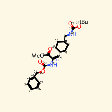 COC(=O)/C(=C\[C@H]1CC[C@H](CNC(=O)OC(C)(C)C)CC1)NC(=O)OCc1ccccc1